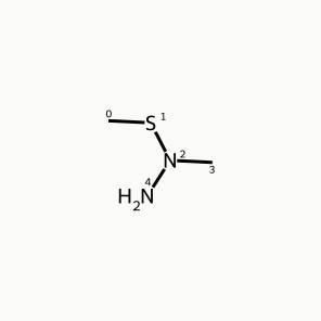 CSN(C)N